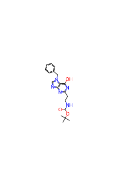 CC(C)(C)OC(=O)NCCc1nc(O)c2c(ncn2Cc2ccccc2)n1